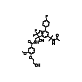 COc1cc(C(=O)NCC(O)(c2cc(C(C)(C)NC(C)=O)cc(-c3ccc(F)cc3)n2)C(F)(F)F)ccc1OCCO